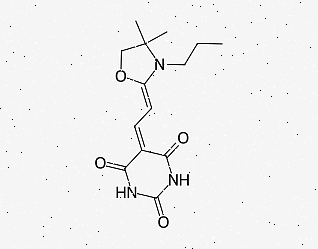 CCCN1/C(=C/C=C2C(=O)NC(=O)NC2=O)OCC1(C)C